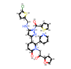 O=C(Cn1c(-c2cccnc2)c(-c2cc(NCc3ccc(Cl)s3)n(C(=O)c3cccs3)n2)ccc1=O)c1ccco1